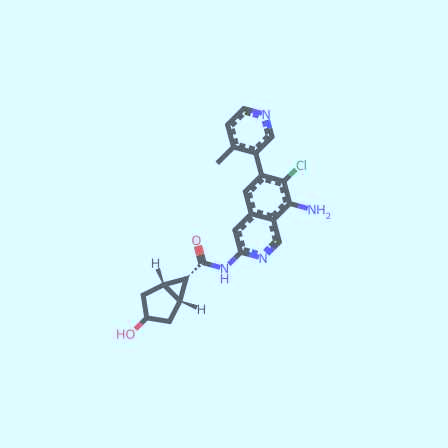 Cc1ccncc1-c1cc2cc(NC(=O)[C@@H]3[C@@H]4CC(O)C[C@@H]43)ncc2c(N)c1Cl